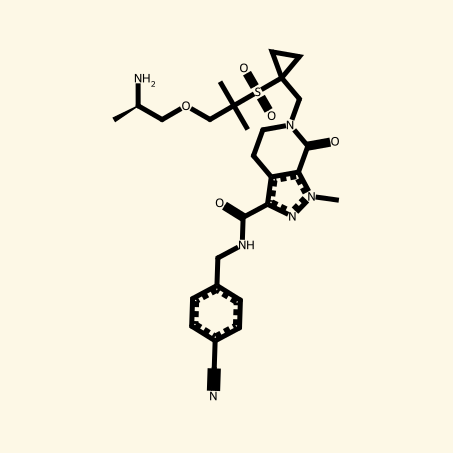 C[C@@H](N)COCC(C)(C)S(=O)(=O)C1(CN2CCc3c(C(=O)NCc4ccc(C#N)cc4)nn(C)c3C2=O)CC1